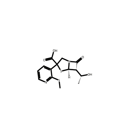 CSc1ncccc1C1(C(=O)O)CN2C(=O)[C@H]([C@@H](C)O)[C@H]2S1